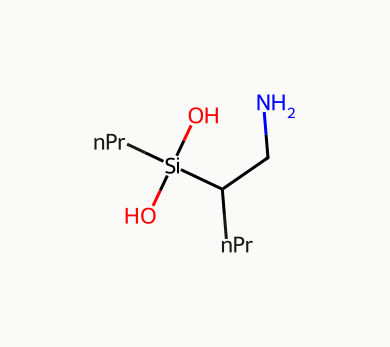 CCCC(CN)[Si](O)(O)CCC